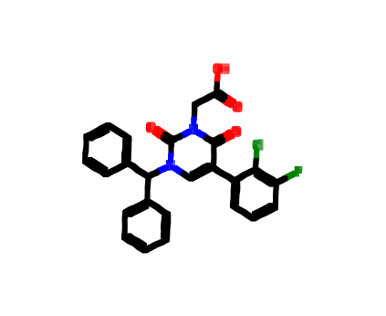 O=C(O)Cn1c(=O)c(-c2cccc(F)c2Cl)cn(C(c2ccccc2)c2ccccc2)c1=O